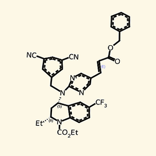 CCOC(=O)N1c2ccc(C(F)(F)F)cc2[C@@H](N(Cc2cc(C#N)cc(C#N)c2)c2ncc(/C=C/C(=O)OCc3ccccc3)cn2)C[C@H]1CC